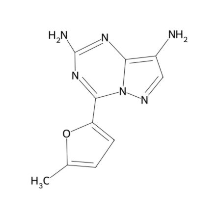 Cc1ccc(-c2nc(N)nc3c(N)cnn23)o1